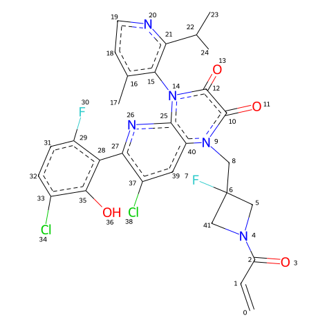 C=CC(=O)N1CC(F)(Cn2c(=O)c(=O)n(-c3c(C)ccnc3C(C)C)c3nc(-c4c(F)ccc(Cl)c4O)c(Cl)cc32)C1